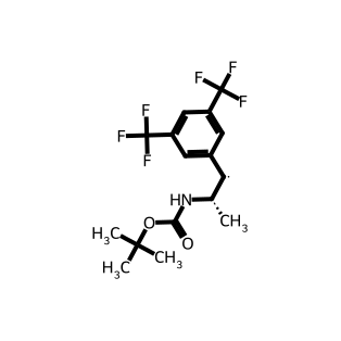 C[C@@H]([CH]c1cc(C(F)(F)F)cc(C(F)(F)F)c1)NC(=O)OC(C)(C)C